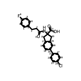 O=C(CCc1ccc(F)cc1)NC1(C(=O)O)Cc2ccc(-c3ccc(Cl)cc3)cc2C1